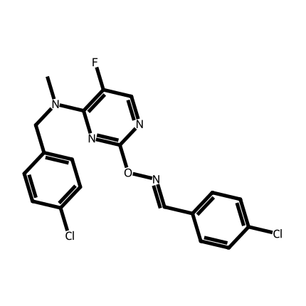 CN(Cc1ccc(Cl)cc1)c1nc(ON=Cc2ccc(Cl)cc2)ncc1F